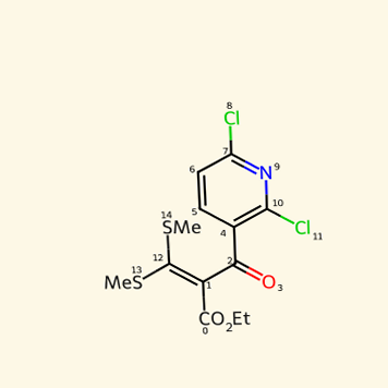 CCOC(=O)C(C(=O)c1ccc(Cl)nc1Cl)=C(SC)SC